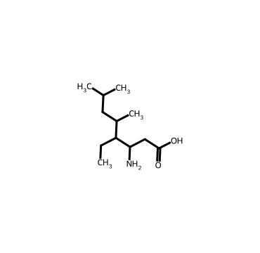 CCC(C(C)CC(C)C)C(N)CC(=O)O